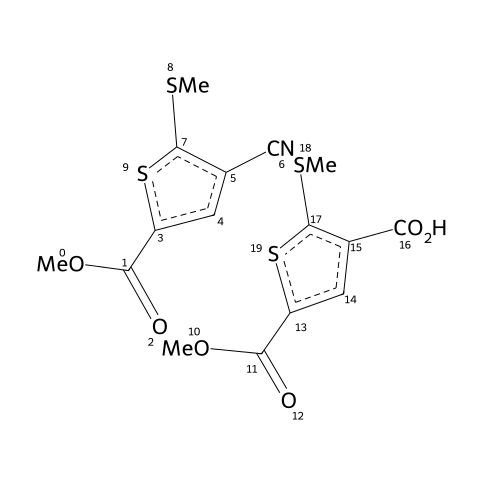 COC(=O)c1cc(C#N)c(SC)s1.COC(=O)c1cc(C(=O)O)c(SC)s1